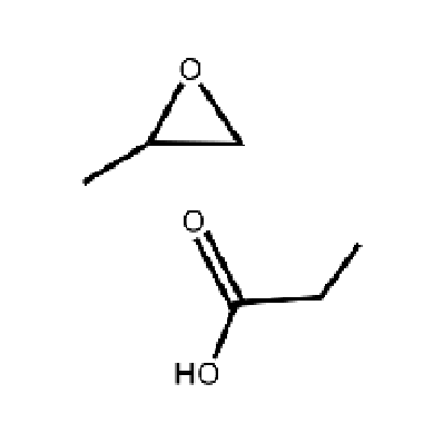 CC1CO1.CCC(=O)O